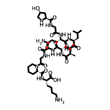 CC(C)C[C@H](NC(=O)[C@H](C)NC(=O)[C@H](CC(C)C)NC(=O)[C@H](CCC(N)=O)NC(=O)CNC(=O)[C@@H]1C[C@@H](O)CN1)C(=O)N[C@@H](C)C(=O)NCC(=O)N1CCCC[C@H]1C(=O)N[C@@H](CCCCN)C(=O)O